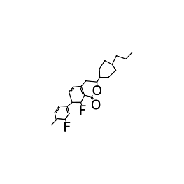 CCCC1CCC(C2Cc3ccc(-c4ccc(C)c(F)c4)c(F)c3C(=O)O2)CC1